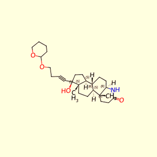 C[C@]12CCC(=O)N[C@@H]1CC[C@@H]1[C@@H]2CC[C@@]2(C)[C@H]1CC[C@@]2(O)C#CCCOC1CCCCO1